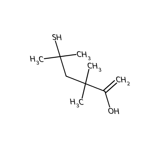 C=C(O)C(C)(C)CC(C)(C)S